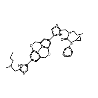 CCCN(C)Cc1ncc(-c2cc3c4c(c2)OCc2cc(-c5cnc(CN(CCC)C(=O)[C@@H](c6ccccc6)C6CC6)[nH]5)cc(c2-4)OC3)[nH]1